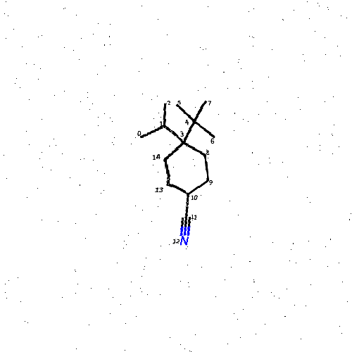 CC(C)C1(C(C)(C)C)CCC(C#N)CC1